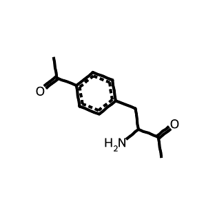 CC(=O)c1ccc(CC(N)C(C)=O)cc1